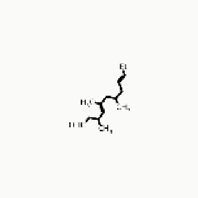 CCC=CCC(C)CC(C)=CC(C)C[C]=O